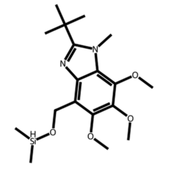 COc1c(OC)c(OC)c2c(nc(C(C)(C)C)n2C)c1CO[SiH](C)C